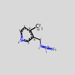 [N-]=[N+]=NCc1cnccc1C(F)(F)F